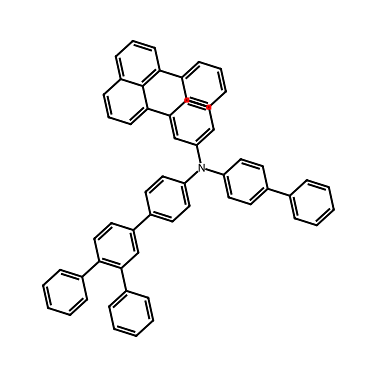 c1ccc(-c2ccc(N(c3ccc(-c4ccc(-c5ccccc5)c(-c5ccccc5)c4)cc3)c3cccc(-c4cccc5cccc(-c6ccccc6)c45)c3)cc2)cc1